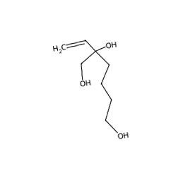 C=CC(O)(CO)CCCCO